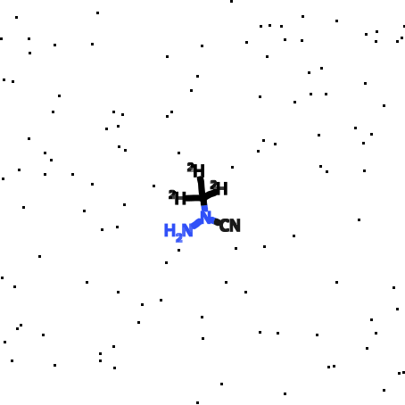 [2H]C([2H])([2H])N(N)C#N